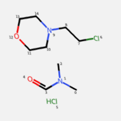 CN(C)C=O.Cl.ClCCN1CCOCC1